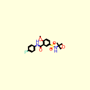 COc1ccc(S(=O)(=O)NC2(C)COC2)cc1C(=O)Nc1ccc(F)cc1